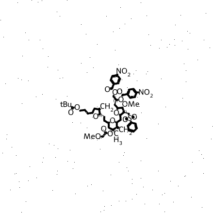 C=C1CC(CCCOC(=O)C(C)(C)C)O[C@H]1CCC1C[C@@](C)(OC(=O)COC)C(=C)C(CC2OC(C[C@@H](COC(=O)c3ccc([N+](=O)[O-])cc3)OC(=O)c3ccc([N+](=O)[O-])cc3)C(OC)[C@H]2CS(=O)(=O)c2ccccc2)O1